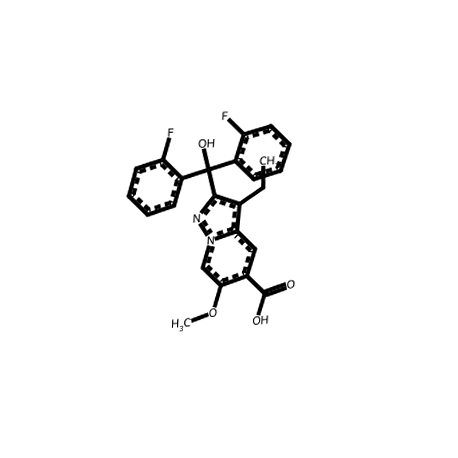 CCc1c(C(O)(c2ccccc2F)c2ccccc2F)nn2cc(OC)c(C(=O)O)cc12